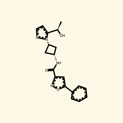 C[C@@H](O)c1ccnn1[C@H]1C[C@@H](NC(=O)c2cc(-c3ccccc3)on2)C1